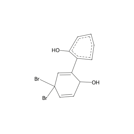 Oc1ccccc1C1=CC(Br)(Br)C=CC1O